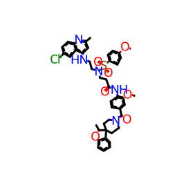 COc1ccc(S(=O)(=O)N(CCNc2cc(C)nc3ccc(Cl)cc23)CCC(=O)Nc2ccc(C(=O)N3CCC(C(C)=O)(c4ccccc4)CC3)cc2OC)cc1